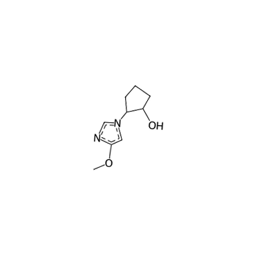 COc1cn(C2CCCC2O)cn1